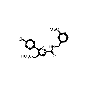 COc1cccc(CNC(=O)c2cc(CC(=O)O)c(-c3ccc(Cl)cc3)s2)c1